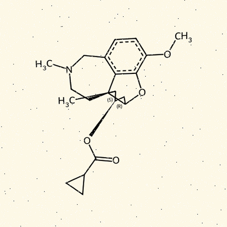 COc1ccc2c3c1OC1C[C@@H](OC(=O)C4CC4)C(C)[C@@]31CCN(C)C2